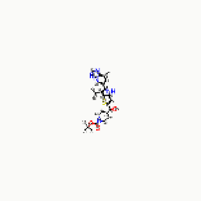 Cc1cc(-c2[nH]c3cc(C(=O)C4CCN(C(=O)OC(C)(C)C)CC4)sc3c2C(C)C)cn2ncnc12